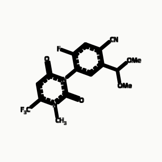 COC(OC)c1cc(-n2c(=O)cc(C(F)(F)F)n(C)c2=O)c(F)cc1C#N